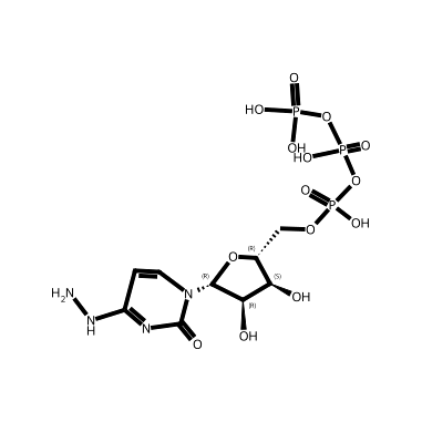 NNc1ccn([C@@H]2O[C@H](COP(=O)(O)OP(=O)(O)OP(=O)(O)O)[C@@H](O)[C@H]2O)c(=O)n1